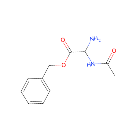 CC(=O)NC(N)C(=O)OCc1ccccc1